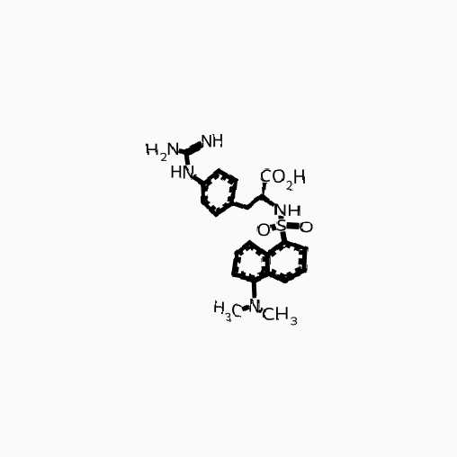 CN(C)c1cccc2c(S(=O)(=O)N[C@@H](Cc3ccc(NC(=N)N)cc3)C(=O)O)cccc12